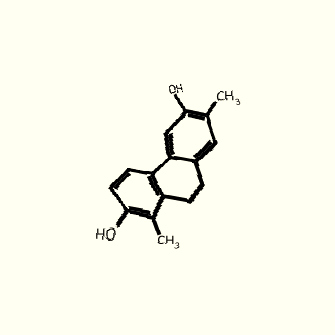 Cc1cc2c(cc1O)-c1ccc(O)c(C)c1CC2